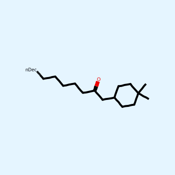 CCCCCCCCCCCCCCCC(=O)CC1CCC(C)(C)CC1